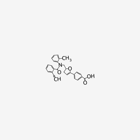 C#Cc1ccccc1C(=O)N(CC1CC=C(c2ccc(C(=O)O)cc2)O1)c1ccccc1C